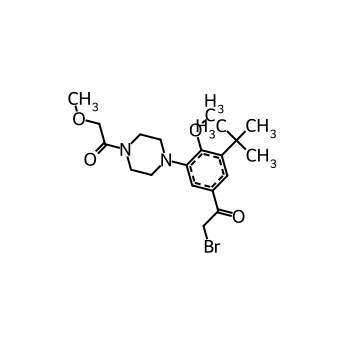 COCC(=O)N1CCN(c2cc(C(=O)CBr)cc(C(C)(C)C)c2OC)CC1